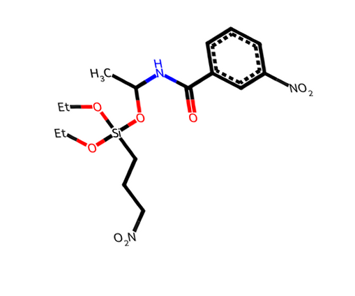 CCO[Si](CCC[N+](=O)[O-])(OCC)OC(C)NC(=O)c1cccc([N+](=O)[O-])c1